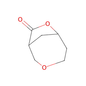 O=C1OC2CCOCC1C2